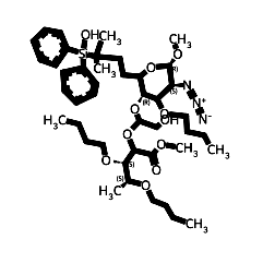 CCCCOC1[C@H](OC(CO)OC(C(=O)OC)[C@@H](OCCCC)[C@H](C)OCCCC)C(CCC(C)(C)[Si](O)(c2ccccc2)c2ccccc2)O[C@@H](OC)[C@H]1N=[N+]=[N-]